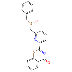 O=c1nc(-c2cccc(C[S+]([O-])Cc3ccccc3)n2)sc2ccccc12